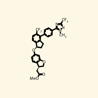 COC(=O)C[C@@H]1COc2cc(O[C@@H]3CCc4c3ccc(C(F)(F)F)c4-c3ccc(-c4nc(C(F)(F)F)nn4C)cc3)ccc21